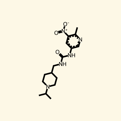 Cc1ncc(NC(=O)NCC2CCN(C(C)C)CC2)cc1[N+](=O)[O-]